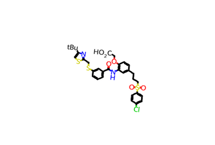 CC(C)(C)c1csc(CSc2cccc(C(=O)Nc3cc(CCCS(=O)(=O)c4ccc(Cl)cc4)ccc3OCC(=O)O)c2)n1